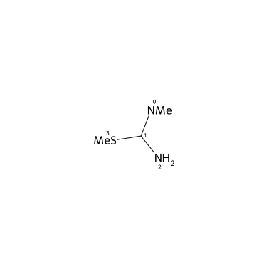 CNC(N)SC